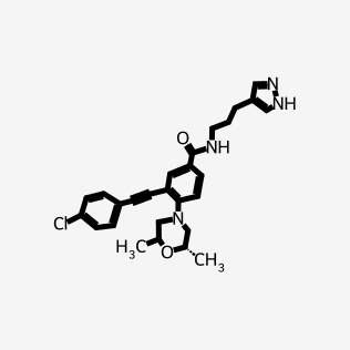 CC1CN(c2ccc(C(=O)NCCCc3cn[nH]c3)cc2C#Cc2ccc(Cl)cc2)C[C@H](C)O1